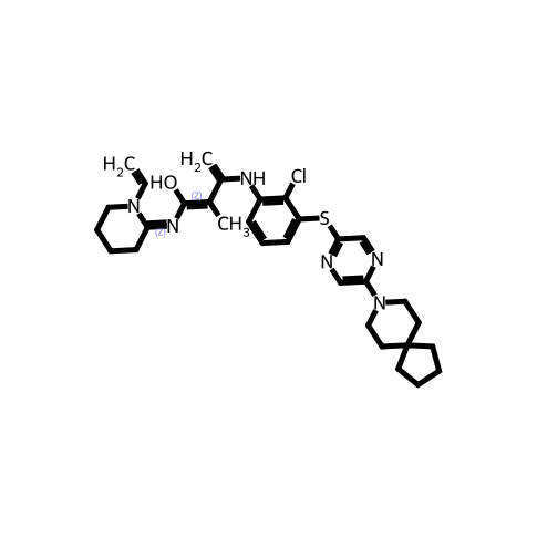 C=CN1CCCC/C1=N/C(O)=C(\C)C(=C)Nc1cccc(Sc2cnc(N3CCC4(CCCC4)CC3)cn2)c1Cl